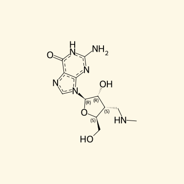 CNC[C@H]1[C@@H](O)[C@H](n2cnc3c(=O)[nH]c(N)nc32)O[C@@H]1CO